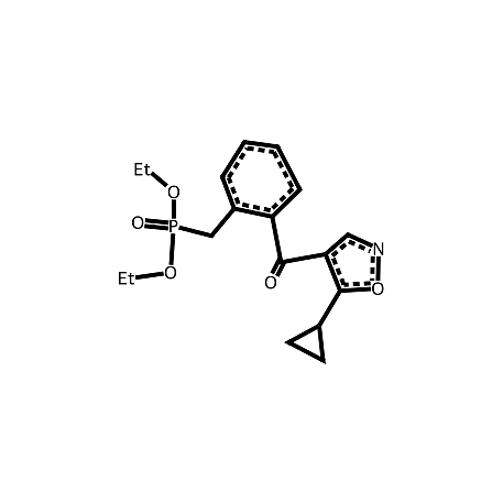 CCOP(=O)(Cc1ccccc1C(=O)c1cnoc1C1CC1)OCC